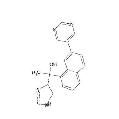 CC(O)(c1cccc2ccc(-c3cncnc3)cc12)C1CNC=N1